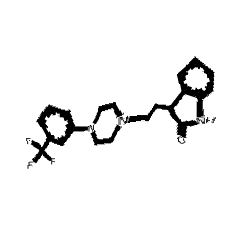 O=C1Nc2ccccc2C1CCN1CCN(c2cccc(C(F)(F)F)c2)CC1